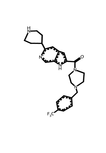 O=C(c1cc2cc(C3CCNCC3)ncc2[nH]1)N1CCN(Cc2ccc(C(F)(F)F)cc2)CC1